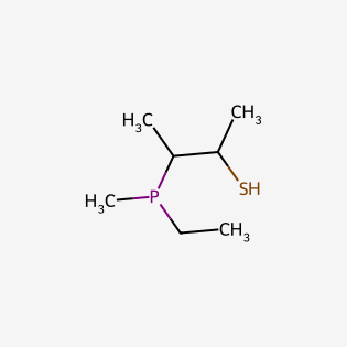 CCP(C)C(C)C(C)S